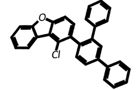 Clc1c(-c2ccc(-c3ccccc3)cc2-c2ccccc2)ccc2oc3ccccc3c12